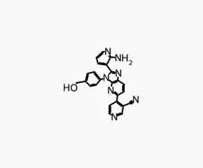 N#Cc1cnccc1-c1ccc2nc(-c3cccnc3N)n(-c3ccc(CO)cc3)c2n1